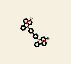 Brc1ccc(N(c2ccc(-c3ccc(N(c4ccc(Br)cc4)c4ccccc4-c4ccccc4)cc3)cc2)c2ccccc2-c2ccccc2)cc1